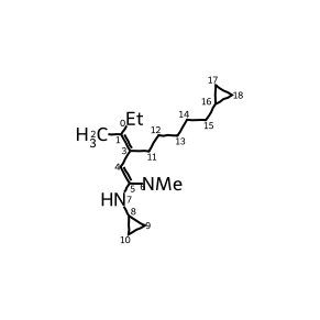 CC/C(C)=C(/C=C(\NC)NC1CC1)CCCCCC1CC1